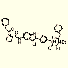 CC[C@@H](C(=O)Nc1ccc(-c2[nH]c3ccc(NC(=O)[C@@H]4CCCN4C(=O)Cc4ccccc4)cc3c2Cl)cc1)N(CC)C(=O)Cc1ccccc1